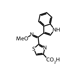 CON=C(c1nc(C(=O)O)cs1)c1c[nH]c2ccccc12